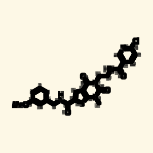 COc1cccc(CNC(=O)c2cc3c(=O)n(CCNC(=O)c4ccc(Cl)nc4)c(=O)n(C)c3s2)c1